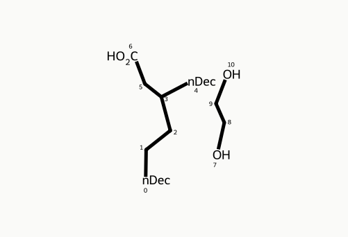 CCCCCCCCCCCCC(CCCCCCCCCC)CC(=O)O.OCCO